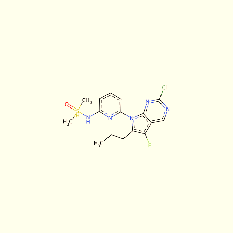 CCCc1c(F)c2cnc(Cl)nc2n1-c1cccc(N[SH](C)(C)=O)n1